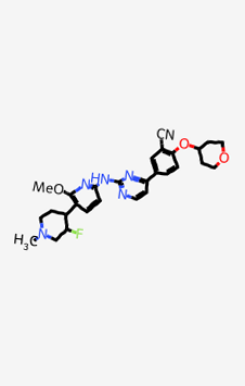 COc1nc(Nc2nccc(-c3ccc(OC4CCOCC4)c(C#N)c3)n2)ccc1C1CCN(C)CC1F